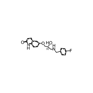 O=c1ccc2cc(OC[C@@H](O)CNCc3ccc(F)cc3)ccc2[nH]1